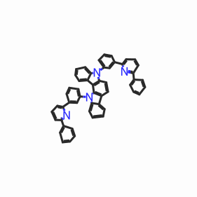 c1ccc(-c2cccc(-c3cccc(-n4c5ccccc5c5c4ccc4c6ccccc6n(-c6cccc(-c7cccc(-c8ccccc8)n7)c6)c45)c3)n2)cc1